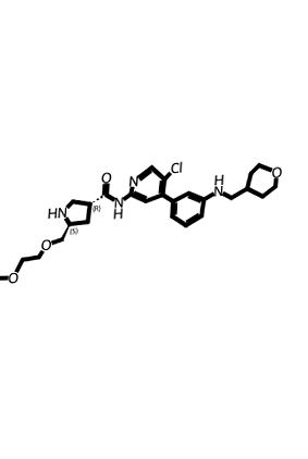 COCCOC[C@@H]1C[C@@H](C(=O)Nc2cc(-c3cccc(NCC4CCOCC4)c3)c(Cl)cn2)CN1